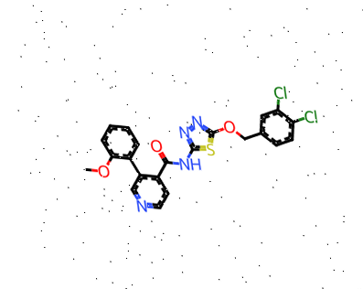 COc1ccccc1-c1cnccc1C(=O)Nc1nnc(OCc2ccc(Cl)c(Cl)c2)s1